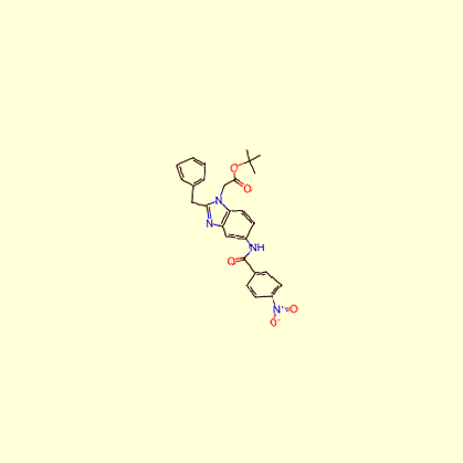 CC(C)(C)OC(=O)Cn1c(Cc2ccccc2)nc2cc(NC(=O)c3ccc([N+](=O)[O-])cc3)ccc21